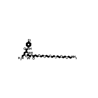 CCc1ccc(NC(=O)C(CCCN)NC(=O)C(NC(=O)CCOCCOCCOCCOCCOCCOCCN)C(C)C)cc1